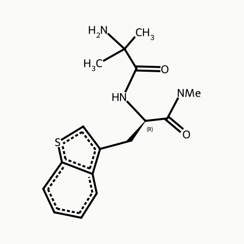 CNC(=O)[C@@H](Cc1csc2ccccc12)NC(=O)C(C)(C)N